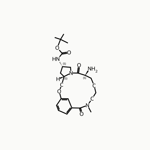 CN1CCCC[C@H](N)C(=O)N2C[C@@H](NC(=O)OC(C)(C)C)C[C@H]2COc2cccc(c2)C1=O